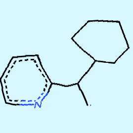 [CH2]C(c1ccccn1)C1CCCCC1